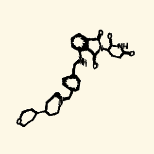 O=C1CCC(N2C(=O)c3cccc(NCc4ccc(CN5CCC(C6CCOCC6)CC5)cc4)c3C2=O)C(=O)N1